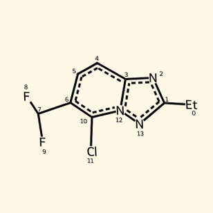 CCc1nc2ccc(C(F)F)c(Cl)n2n1